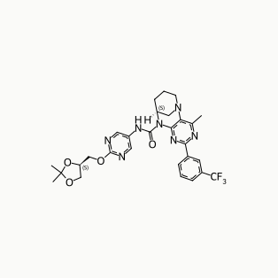 Cc1nc(-c2cccc(C(F)(F)F)c2)nc2c1N1CCC[C@@H](C1)N2C(=O)Nc1cnc(OC[C@H]2COC(C)(C)O2)nc1